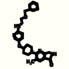 Cc1cc2c(nc1N1CCC(Oc3ccc(NCCOCc4ccccc4)nc3)CC1)CNC2=O